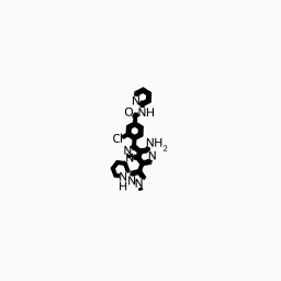 Cn1cc(-c2cnc(N)c3c(-c4ccc(C(=O)Nc5ccccn5)cc4Cl)nn(C4CCCNC4)c23)cn1